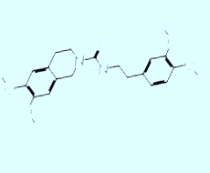 COc1ccc(CCNC(=S)N2CCc3cc(OC)c(OC)cc3C2)cc1OC